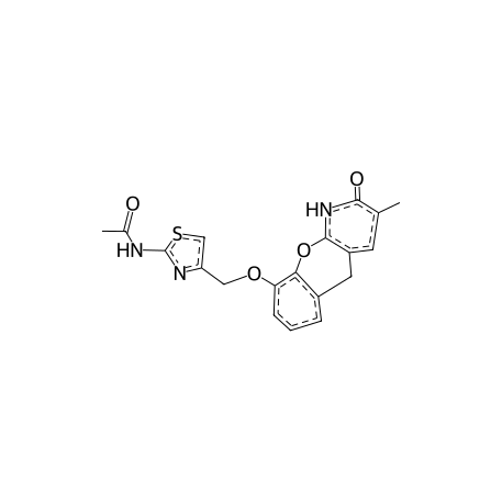 CC(=O)Nc1nc(COc2cccc3c2Oc2[nH]c(=O)c(C)cc2C3)cs1